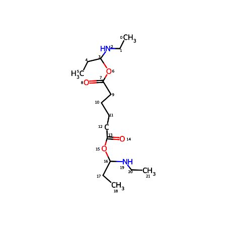 CCNC(CC)OC(=O)CCCCC(=O)OC(CC)NCC